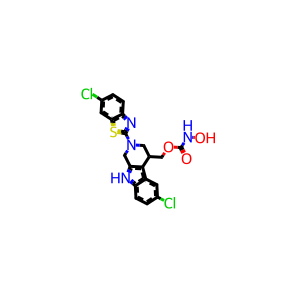 O=C(NO)OCC1CN(c2nc3ccc(Cl)cc3s2)Cc2[nH]c3ccc(Cl)cc3c21